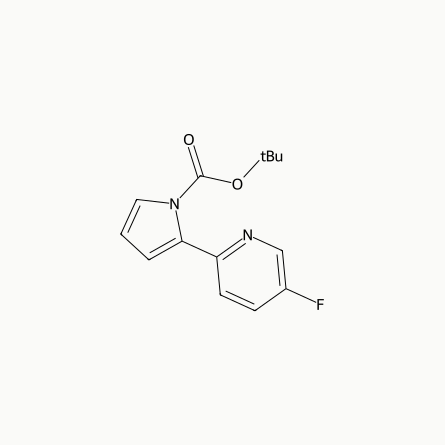 CC(C)(C)OC(=O)n1cccc1-c1ccc(F)cn1